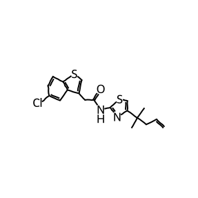 C=CCC(C)(C)c1csc(NC(=O)Cc2csc3ccc(Cl)cc23)n1